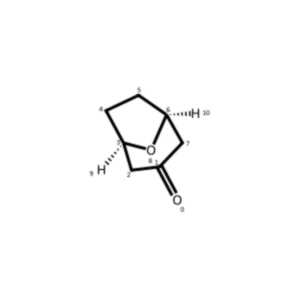 O=C1C[C@H]2CC[C@@H](C1)O2